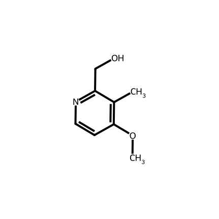 COc1ccnc(CO)c1C